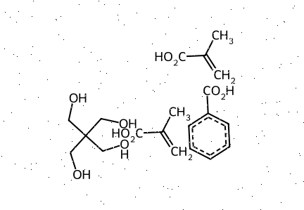 C=C(C)C(=O)O.C=C(C)C(=O)O.O=C(O)c1ccccc1.OCC(CO)(CO)CO